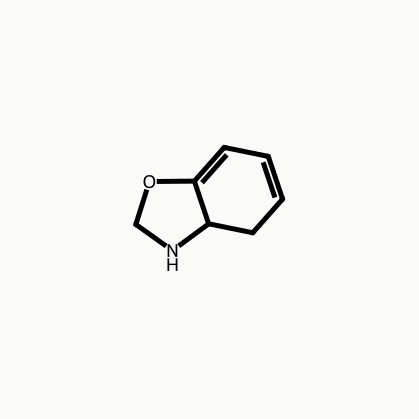 C1=CCC2NCOC2=C1